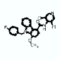 COc1ccc(C(=O)Nc2c(Cl)cncc2Cl)c2c3ccccc3n(Cc3ccc(F)cc3)c12